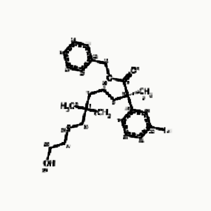 CC(C)(CCC[C@@](C)(C(=O)OCc1ccccc1)c1cccc(I)c1)CSCCO